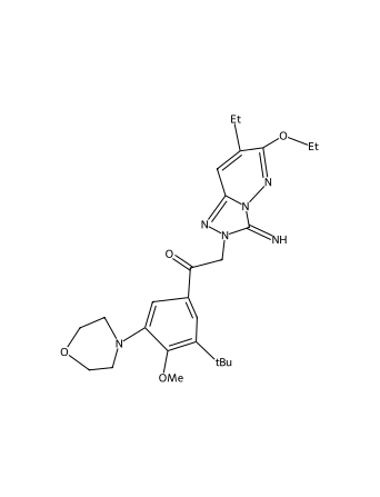 CCOc1nn2c(=N)n(CC(=O)c3cc(N4CCOCC4)c(OC)c(C(C)(C)C)c3)nc2cc1CC